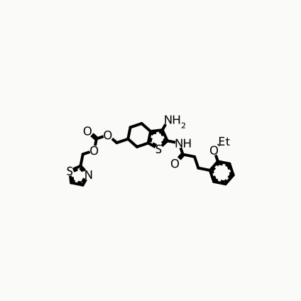 CCOc1ccccc1CCC(=O)Nc1sc2c(c1N)CCC(COC(=O)OCc1nccs1)C2